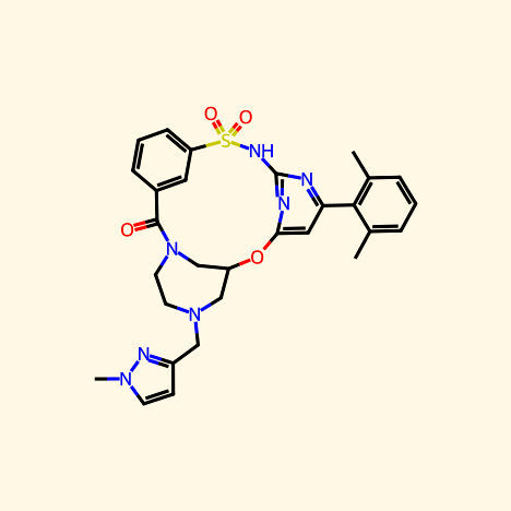 Cc1cccc(C)c1-c1cc2nc(n1)NS(=O)(=O)c1cccc(c1)C(=O)N1CCN(Cc3ccn(C)n3)CC(C1)O2